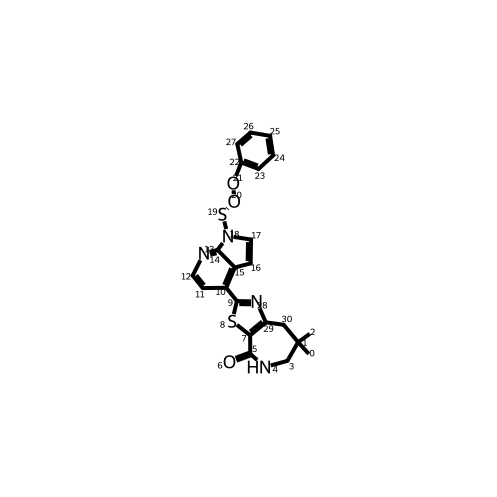 CC1(C)CNC(=O)c2sc(-c3ccnc4c3ccn4SOOc3ccccc3)nc2C1